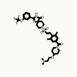 Cc1cc(C(=O)N2CCC(OCCN(C)C)CC2)cc(C)c1C=CS(=O)(=O)N1CCC2(CC1)N=C(c1cccc(OC(F)(F)F)c1)NC2=O